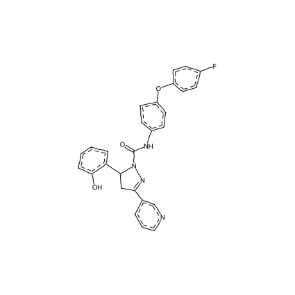 O=C(Nc1ccc(Oc2ccc(F)cc2)cc1)N1N=C(c2cccnc2)CC1c1ccccc1O